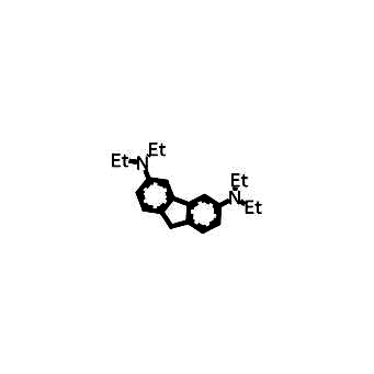 CCN(CC)c1ccc2c(c1)-c1cc(N(CC)CC)ccc1C2